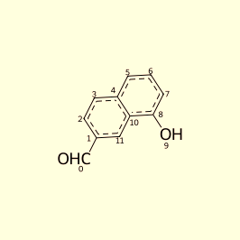 O=Cc1ccc2cccc(O)c2c1